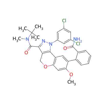 COc1cc2c(cc1-c1ccccc1C(N)=O)-c1c(c(C(=O)N(C)C(C)(C)C)nn1-c1cc(Cl)cc(Cl)c1)CO2